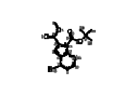 COC(=O)c1cc2c(Br)ccnc2n1C(=O)OC(C)(C)C